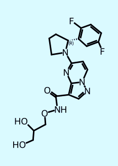 O=C(NOCC(O)CO)c1cnn2ccc(N3CCC[C@@H]3c3cc(F)ccc3F)nc12